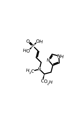 CN(CC=CP(=O)(O)O)[C@@H](Cc1c[nH]cn1)C(=O)O